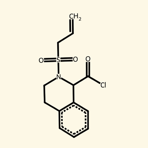 C=CCS(=O)(=O)N1CCc2ccccc2C1C(=O)Cl